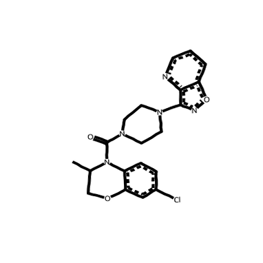 CC1COc2cc(Cl)ccc2N1C(=O)N1CCN(c2noc3cccnc23)CC1